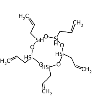 C=CC[SiH]1O[SiH](CC=C)O[SiH](CC=C)O[SiH](CC=C)O[SiH](CC=C)O1